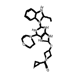 CCC1NC2C=CC=CC2N1C1NC2=C(NC(OC3CN(C(=O)C4CC4)C3)N2)C(N2CCOCC2)N1